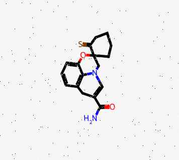 NC(=O)C1=CN2CC3(CCCCC3=S)Oc3cccc(c32)C1